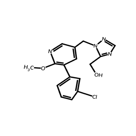 COc1ncc(Cn2ncnc2CO)cc1-c1cccc(Cl)c1